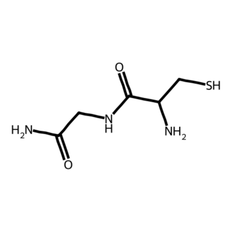 NC(=O)CNC(=O)C(N)CS